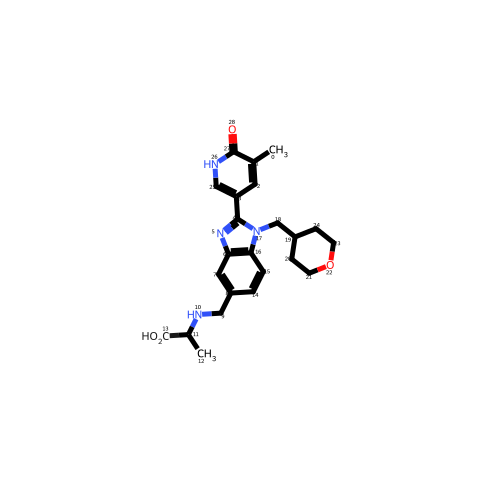 Cc1cc(-c2nc3cc(CNC(C)C(=O)O)ccc3n2CC2CCOCC2)c[nH]c1=O